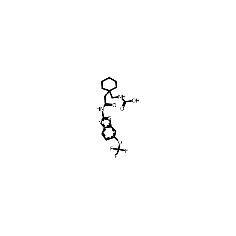 O=C(O)NCC1(CC(=O)Nc2nc3ccc(OC(F)(F)F)cc3s2)CCCCC1